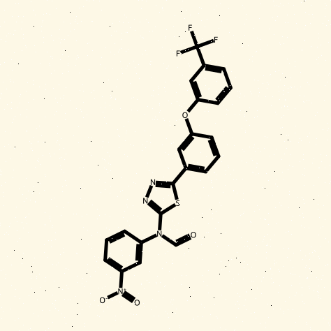 O=CN(c1cccc([N+](=O)[O-])c1)c1nnc(-c2cccc(Oc3cccc(C(F)(F)F)c3)c2)s1